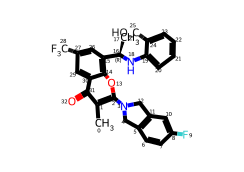 Cc1c(N2Cc3ccc(F)cc3C2)oc2c([C@@H](C)Nc3ccccc3C(=O)O)cc(C(F)(F)F)cc2c1=O